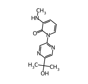 CNc1cccn(-c2cnc(C(C)(C)O)cn2)c1=O